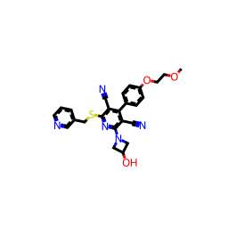 COCCOc1ccc(-c2c(C#N)c(SCc3cccnc3)nc(N3CC(O)C3)c2C#N)cc1